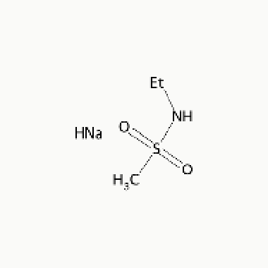 CCNS(C)(=O)=O.[NaH]